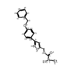 CCN(CC)C(=O)OCc1cc(-c2ccc(OCc3ccccc3)cc2)no1